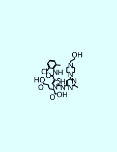 Cc1nc(Nc2ncc(C(=O)Nc3c(C)cccc3Cl)s2)cc(N2CCN(CCO)CC2)n1.O=C(O)CCCC(=O)O